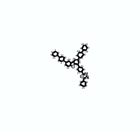 c1ccc(-c2ccc(-c3ccc4oc5c(-c6ccc(-c7nnc(-c8ccccc8)o7)cc6)cc(-c6ccc(-c7ccccc7)cc6)cc5c4c3)cc2)cc1